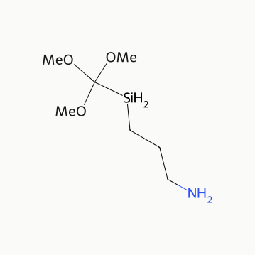 COC(OC)(OC)[SiH2]CCCN